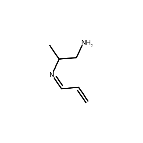 C=C/C=N\C(C)CN